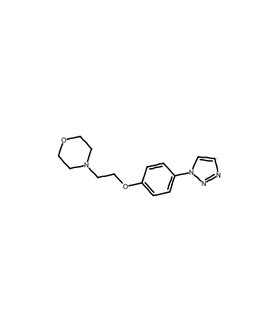 [c]1cn(-c2ccc(OCCN3CCOCC3)cc2)nn1